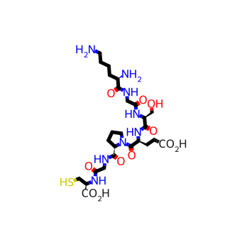 NCCCC[C@H](N)C(=O)NCC(=O)N[C@@H](CO)C(=O)N[C@@H](CCC(=O)O)C(=O)N1CCC[C@H]1C(=O)NCC(=O)N[C@@H](CS)C(=O)O